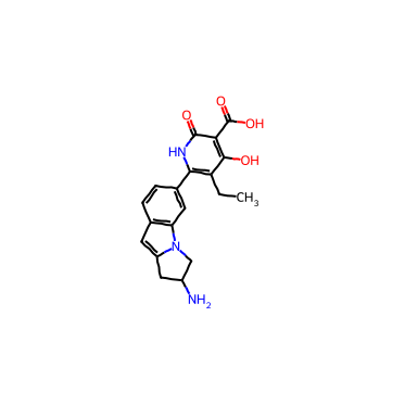 CCc1c(-c2ccc3cc4n(c3c2)CC(N)C4)[nH]c(=O)c(C(=O)O)c1O